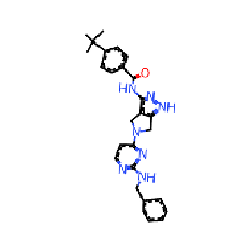 CC(C)(C)c1ccc(C(=O)Nc2n[nH]c3c2CN(c2ccnc(NCc4ccccc4)n2)C3)cc1